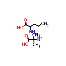 CC(C)(N)C(=O)O.CCCC(N)C(=O)O